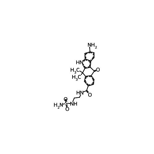 CC1(C)c2cc(C(=O)NCCNS(N)(=O)=O)ccc2C(=O)c2c1[nH]c1cc(N)ccc21